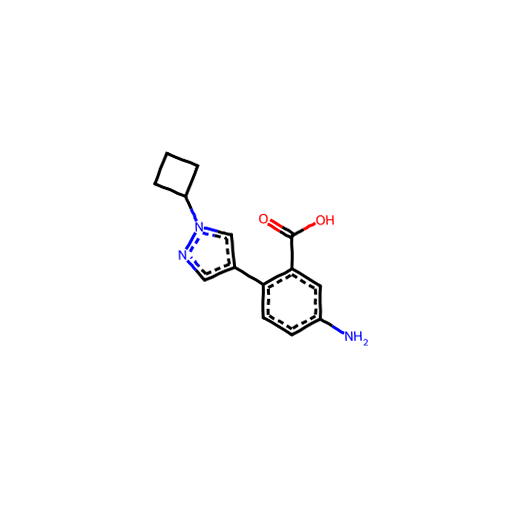 Nc1ccc(-c2cnn(C3CCC3)c2)c(C(=O)O)c1